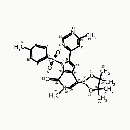 Cc1ccc(S(=O)(=O)n2c(-c3cc(C)ncn3)cc3c(B4OC(C)(C)C(C)(C)O4)cn(C)c(=O)c32)cc1